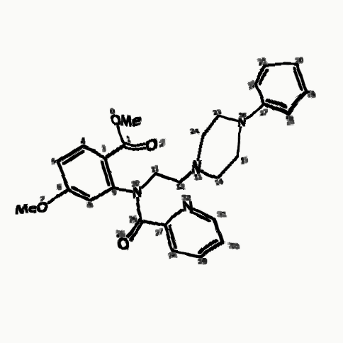 COC(=O)c1ccc(OC)cc1N(CCN1CCN(c2ccccc2)CC1)C(=O)c1ccccn1